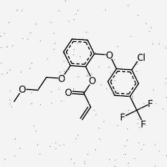 C=CC(=O)Oc1c(OCCOC)cccc1Oc1ccc(C(F)(F)F)cc1Cl